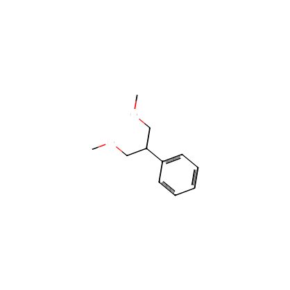 COCC(COC)c1ccccc1